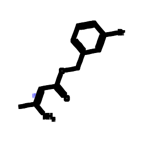 C/C(N)=C/C(=O)OCc1cccc(Br)c1